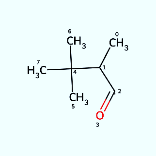 CC([C]=O)C(C)(C)C